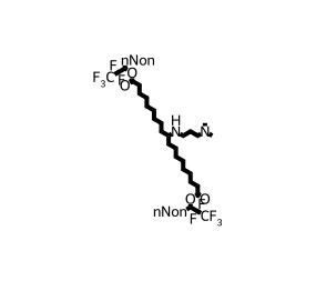 CCCCCCCCCC(OC(=O)CCCCCCCCC(CCCCCCCCC(=O)OC(CCCCCCCCC)C(F)(F)C(F)(F)F)NCCCN(C)C)C(F)(F)C(F)(F)F